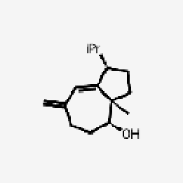 C=C1C=C2[C@@H](C(C)C)CC[C@]2(C)[C@@H](O)CC1